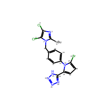 CCCCc1nc(Cl)c(Cl)n1Cc1ccc(-n2c(Br)ccc2-c2nnn[nH]2)cc1